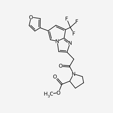 COC(=O)C1CCCN1C(=O)Cc1cn2cc(-c3ccoc3)cc(C(F)(F)F)c2n1